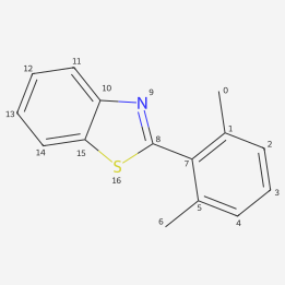 Cc1cccc(C)c1-c1nc2ccccc2s1